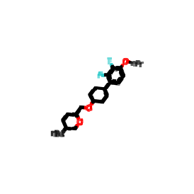 CCCCC1CCC(COC2CCC(c3ccc(OCCC)c(F)c3F)CC2)OC1